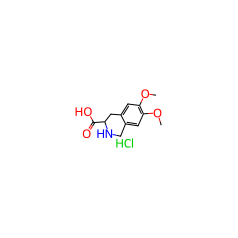 COc1cc2c(cc1OC)CC(C(=O)O)NC2.Cl